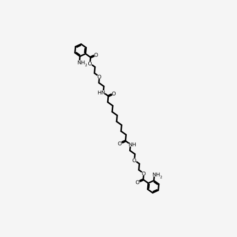 Nc1ccccc1C(=O)OCCOCCNC(=O)CCCCCCCCC(=O)NCCOCCOC(=O)c1ccccc1N